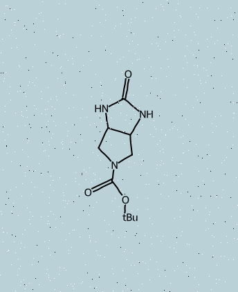 CC(C)(C)OC(=O)N1CC2NC(=O)NC2C1